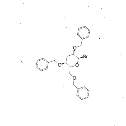 Br[C@H]1O[C@H](COCc2ccccc2)[C@@H](OCc2ccccc2)C[C@H]1OCc1ccccc1